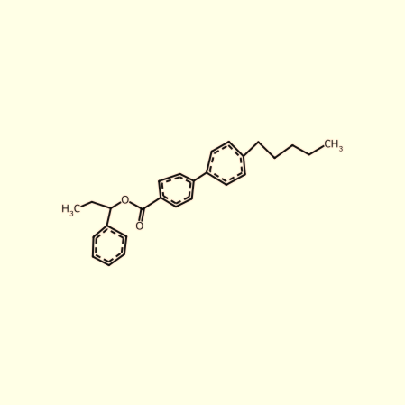 CCCCCc1ccc(-c2ccc(C(=O)OC(CC)c3ccccc3)cc2)cc1